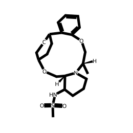 C[C@H]1COc2ccccc2C2CCC(CC2)OC[C@H]2C(NS(C)(=O)=O)CCCN12